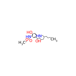 CCCCC1CCC(C(O)c2ccc(O)c(NC(=O)OCC)c2)NC1